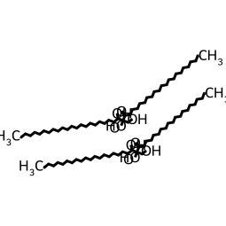 CCCCCCCCCCCCCCCCCCCC(=O)C(O)C(O)(CO)C(=O)CCCCCCCCCCCCCCCCCCC.CCCCCCCCCCCCCCCCCCCCCC(=O)C(O)C(O)(CO)C(=O)CCCCCCCCCCCCCCCCCCCCC